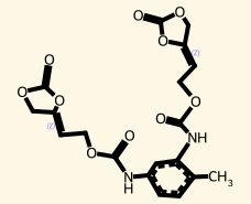 Cc1ccc(NC(=O)OC/C=C2/COC(=O)O2)cc1NC(=O)OC/C=C1/COC(=O)O1